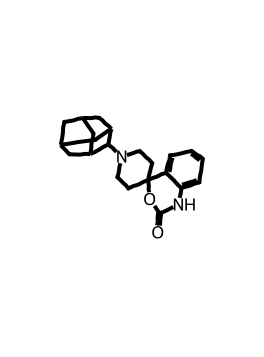 O=C1Nc2ccccc2C2(CCN(C3C4CC5CC(C4)CC3C5)CC2)O1